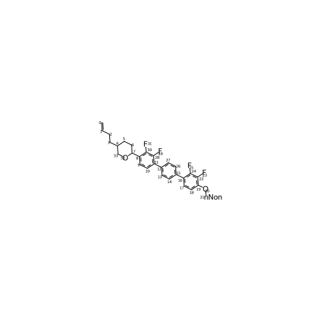 C=CCCC1CCC(c2ccc(-c3ccc(-c4ccc(OCCCCCCCCC)c(F)c4F)cc3)c(F)c2F)OC1